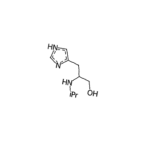 CC(C)NC(CO)Cc1c[nH]cn1